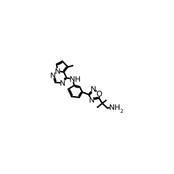 Cc1ccn2ncnc(Nc3cccc(-c4noc(C(C)(C)CN)n4)c3)c12